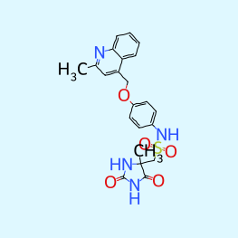 Cc1cc(COc2ccc(NS(=O)(=O)CC3(C)NC(=O)NC3=O)cc2)c2ccccc2n1